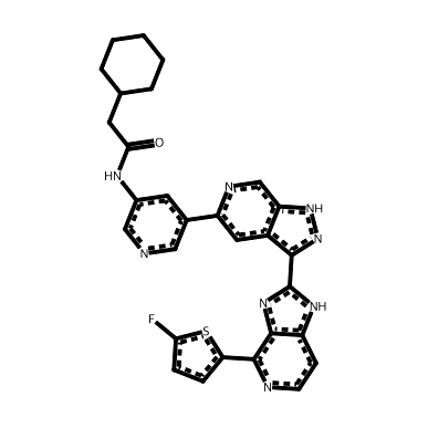 O=C(CC1CCCCC1)Nc1cncc(-c2cc3c(-c4nc5c(-c6ccc(F)s6)nccc5[nH]4)n[nH]c3cn2)c1